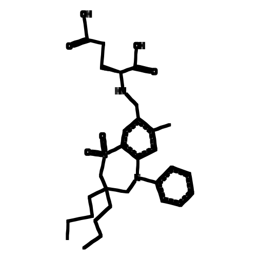 CCCCC1(CCCC)CN(c2ccccc2)c2cc(C)c(CN[C@@H](CCC(=O)O)C(=O)O)cc2S(=O)(=O)C1